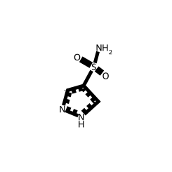 NS(=O)(=O)c1[c]n[nH]c1